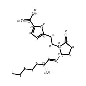 CCCCC[C@@H](O)C=C[C@H]1CCC(=O)N1CCc1ccc(C(=O)O)o1